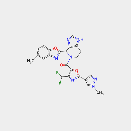 Cc1ccc2oc([C@@H]3c4nc[nH]c4CCN3C(=O)c3oc(-c4cnn(C)c4)nc3C(F)F)nc2c1